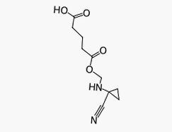 N#CC1(NCOC(=O)CCCC(=O)O)CC1